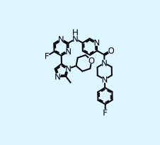 Cc1ncc(-c2nc(Nc3ccc(C(=O)N4CCN(c5ccc(F)cc5)CC4)nc3)ncc2F)n1C1CCOCC1